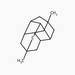 CC12CC3C4CC5(C)CC3C(C1)C(C5)C4C2